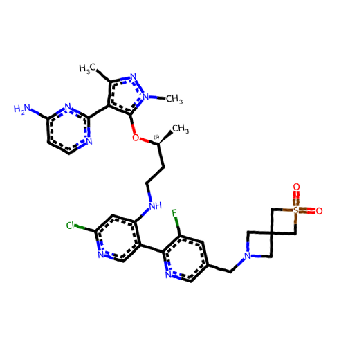 Cc1nn(C)c(O[C@@H](C)CCNc2cc(Cl)ncc2-c2ncc(CN3CC4(C3)CS(=O)(=O)C4)cc2F)c1-c1nccc(N)n1